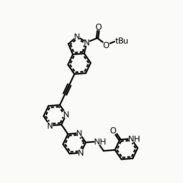 CC(C)(C)OC(=O)n1ncc2cc(C#Cc3ccnc(-c4ccnc(NCc5ccc[nH]c5=O)n4)n3)ccc21